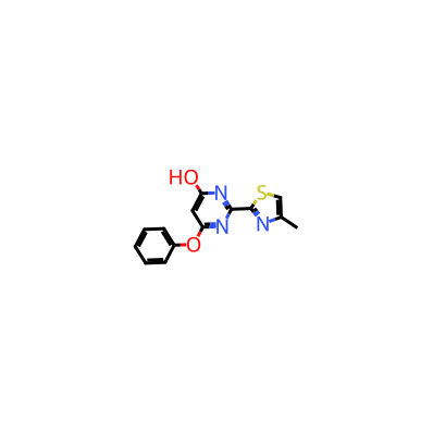 Cc1csc(-c2nc(O)cc(Oc3ccccc3)n2)n1